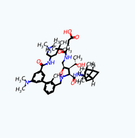 Cc1c(CN2O[C@@H](CNC(=O)CCC(=O)O)[C@@H]([C@H](C)O)[C@H]2C(=O)N[C@H]2C[C@H]3C[C@@H]([C@@H]2C)C3(C)C)cccc1-c1cc(C(=O)NC(CN(C)C)CC(C)(C)C)cc(N(C)C)c1